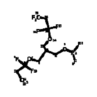 FP(F)OCC(COC(F)(F)CC(F)(F)F)COC(F)(F)CC(F)(F)F